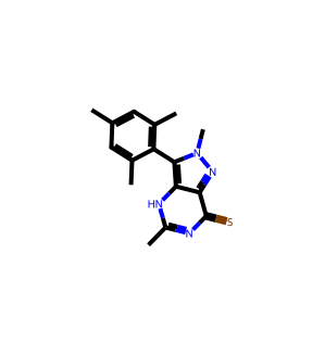 Cc1cc(C)c(-c2c3[nH]c(C)nc(=S)c3nn2C)c(C)c1